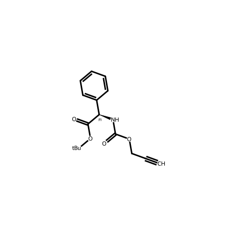 C#CCOC(=O)N[C@@H](C(=O)OC(C)(C)C)c1ccccc1